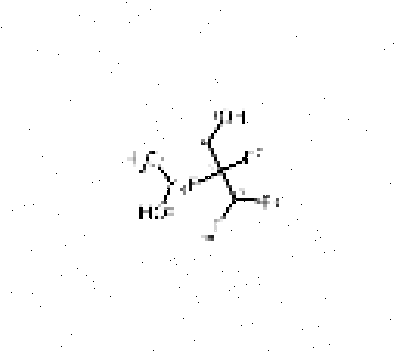 CCO.OCC(F)(F)C(F)F